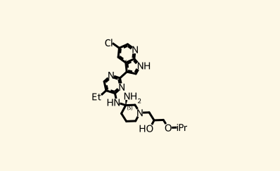 CCc1cnc(-c2c[nH]c3ncc(Cl)cc23)nc1N[C@@]1(N)CCCN(CC(O)COC(C)C)C1